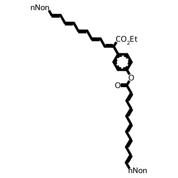 CCCCCCCCCC=CC=CC=CC=CC=CC(=O)Oc1ccc(C(=CC=CC=CC=CC=CCCCCCCCCC)C(=O)OCC)cc1